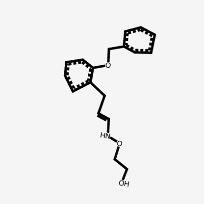 OCCONC=CCc1ccccc1OCc1ccccc1